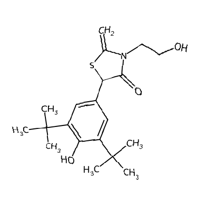 C=C1SC(c2cc(C(C)(C)C)c(O)c(C(C)(C)C)c2)C(=O)N1CCO